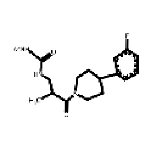 CC(=O)NC(=O)NCC(C)C(=O)N1CCC(c2cccc(F)c2)CC1